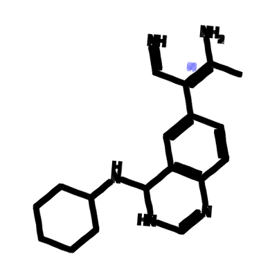 C/C(N)=C(/C=N)c1ccc2c(c1)C(NC1CCCCC1)NC=N2